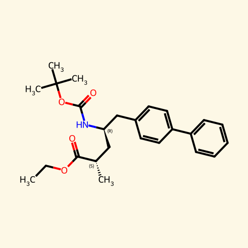 CCOC(=O)[C@@H](C)C[C@H](Cc1ccc(-c2ccccc2)cc1)NC(=O)OC(C)(C)C